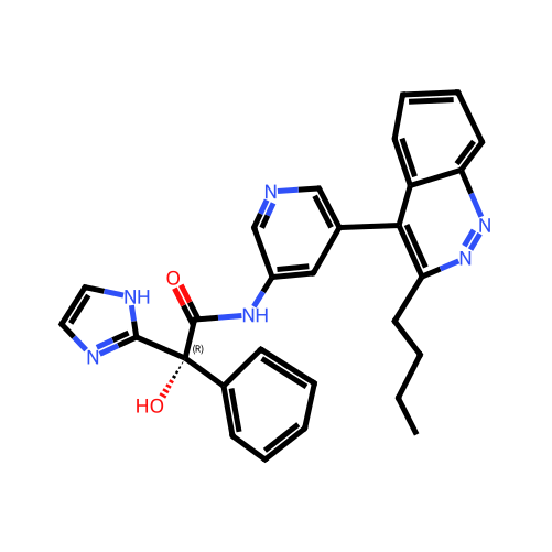 CCCCc1nnc2ccccc2c1-c1cncc(NC(=O)[C@@](O)(c2ccccc2)c2ncc[nH]2)c1